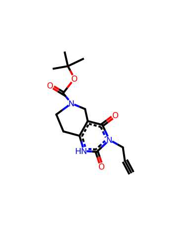 C#CCn1c(=O)[nH]c2c(c1=O)CN(C(=O)OC(C)(C)C)CC2